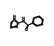 O=C(Nc1ncc[nH]1)c1c[c]ccc1